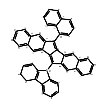 C1=Cc2c(c3ccccc3n2C2=C3C(=C(c4cccc5ccccc45)c4cc5ccccc5cc43)c3cc4ccccc4cc32)CC1